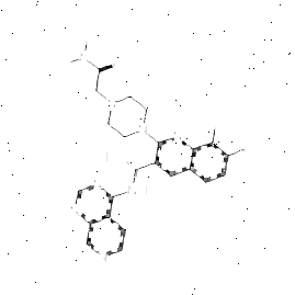 Cc1c(F)ccc2cc([C@H](C)Nc3ncnc4cnccc34)c(N3CCN(CC(=O)N(C)C)CC3)nc12